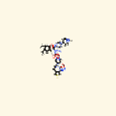 CCc1ccc(C[C@@H](NC(=O)ON2CCC(N3CCc4cscc4NC3=O)CC2)C(=O)N2CCN(C3CCN(C)CC3)CC2)cc1CC